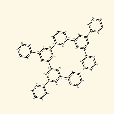 c1ccc(-c2cc(-c3ccccc3)cc(-c3cccc(-c4cc(-c5ccccc5)cc(-c5nc(-c6ccccc6)nc(-c6ccccc6)n5)c4)c3)c2)cc1